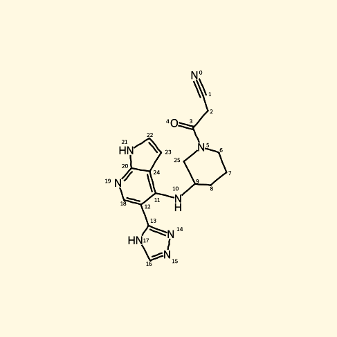 N#CCC(=O)N1CCCC(Nc2c(-c3nnc[nH]3)cnc3[nH]ccc23)C1